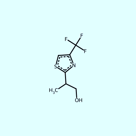 CC(CO)c1nc(C(F)(F)F)cs1